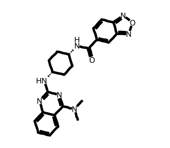 CN(C)c1nc(N[C@H]2CC[C@@H](NC(=O)c3ccc4nonc4c3)CC2)nc2ccccc12